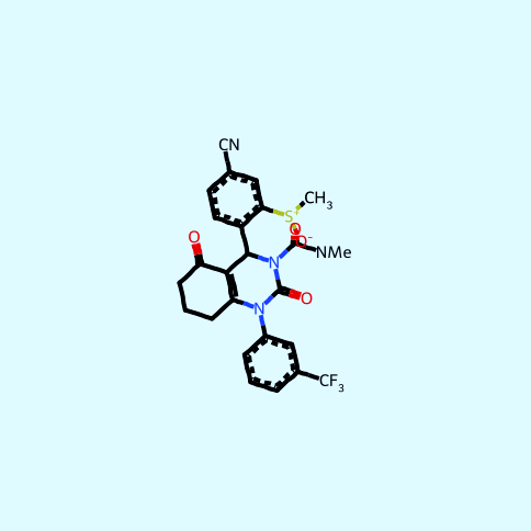 CNC(=O)N1C(=O)N(c2cccc(C(F)(F)F)c2)C2=C(C(=O)CCC2)C1c1ccc(C#N)cc1[S+](C)[O-]